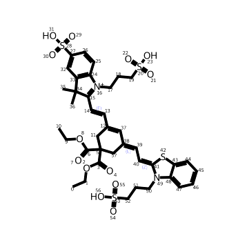 CCOC(=O)C1(C(=O)OCC)CC(/C=C/C2=[N+](CCCS(=O)(=O)O)c3ccc(S(=O)(=O)O)cc3C2(C)C)=CC(=C/C=C2\Sc3ccccc3N2CCCS(=O)(=O)O)/C1